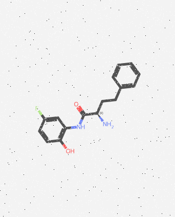 N[C@H](CCc1ccccc1)C(=O)Nc1cc(F)ccc1O